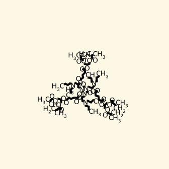 C=C(C)C(=O)OCC(COC(=O)C(=C)C)OC(=O)CCCC(=O)OC(CN(CCCC)CCCC)Cn1c(=O)n(CC(CN(CCCC)CCCC)OC(=O)CCCC(=O)OC(COC(=O)C(=C)C)COC(=O)C(=C)C)c(=O)n(CC(CN(CCCC)CCCC)OC(=O)CCCC(=O)OC(COC(=O)C(=C)C)COC(=O)C(=C)C)c1=O